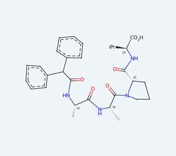 CC(C)[C@H](NC(=O)[C@@H]1CCCN1C(=O)[C@H](C)NC(=O)[C@H](C)NC(=O)C(c1ccccc1)c1ccccc1)C(=O)O